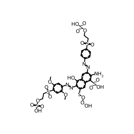 COc1cc(S(=O)(=O)CCOS(=O)(=O)O)c(OC)cc1N=Nc1c(SOOO)cc2c(S(=O)(=O)O)c(N)c(N=Nc3ccc(S(=O)(=O)CCOS(=O)(=O)O)cc3)cc2c1O